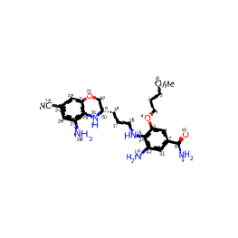 COCCCOc1cc(C(N)=O)cc(N)c1NCCC[C@H]1COc2cc(C#N)cc(N)c2N1